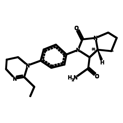 CCC1=NCCCN1c1ccc(N2C(=O)N3CC[CH][C@@H]3C2C(N)=O)cc1